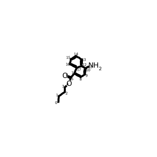 CCCCOC(=O)c1ccc(N)c2ccccc12